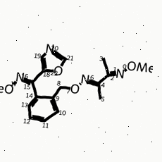 CO/N=C(C)/C(C)=N/OCc1ccccc1/C(=N\OC)c1cnco1